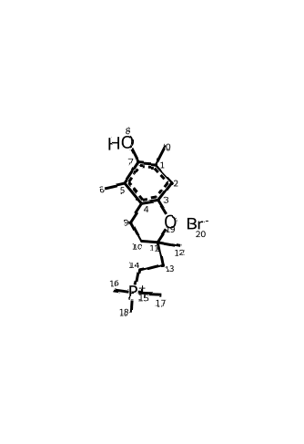 Cc1cc2c(c(C)c1O)CCC(C)(CC[P+](C)(C)C)O2.[Br-]